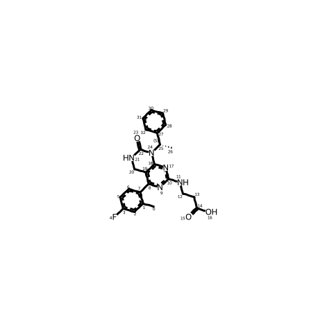 Cc1cc(F)ccc1-c1nc(NCCC(=O)O)nc2c1CNC(=O)N2[C@@H](C)c1ccccc1